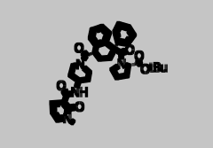 Cn1cccc(C(=O)NC2CCN(C(=O)[C@H]3CC[C@@](C(=O)N4CCC[C@H]4C(=O)OC(C)(C)C)(c4ccccc4)c4ccccc43)CC2)c1=O